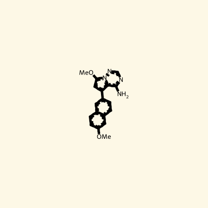 COc1ccc2cc(-c3cc(OC)n4ncnc(N)c34)ccc2c1